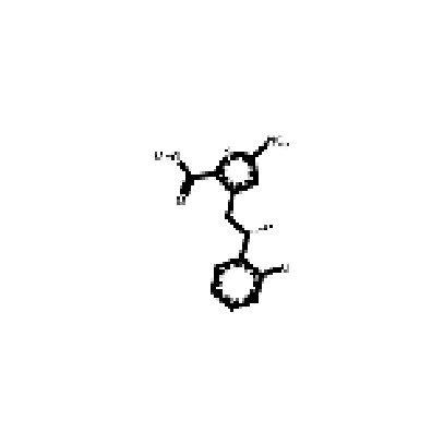 COC(=O)c1sc([N+](=O)[O-])cc1C[C@H](C)c1ccccc1Cl